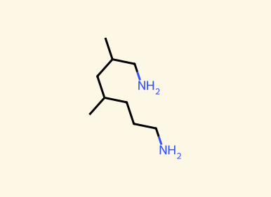 CC(CN)CC(C)CCCN